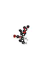 CCc1c(C2CCC3=C(C=CBC3)c3ccccc32)nc(-c2ccc(-c3ccccc3)cc2)nc1C1CCc2ccccc2-c2c1ccc1c3ccccc3n(-c3ccc4c(c3)-c3ccccc3C(c3ccccc3)CC4)c21